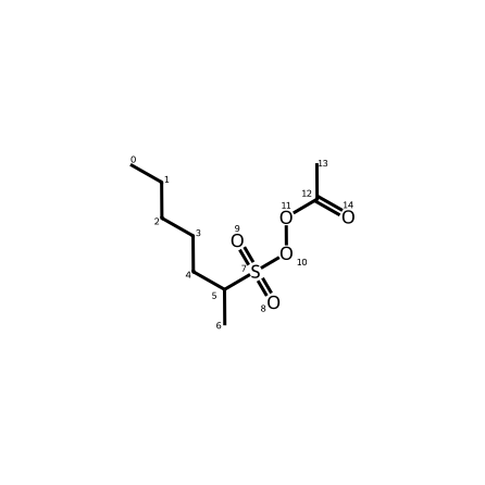 CCCCCC(C)S(=O)(=O)OOC(C)=O